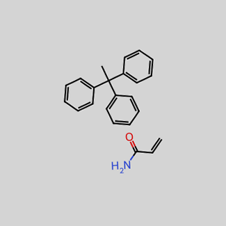 C=CC(N)=O.CC(c1ccccc1)(c1ccccc1)c1ccccc1